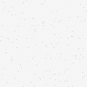 CCCN(c1ccc(-c2ccc(C(O)(C(F)(F)F)C(F)(F)F)cc2F)cc1)S(=O)(=O)Cc1ccc(C(=O)OC)cc1